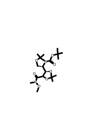 CON(C)C(=O)C1OC(C)(C)O[C@@H]1[C@H]1COC(C)(C)N1C(=O)OC(C)(C)C